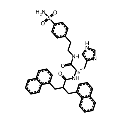 NS(=O)(=O)c1ccc(CCNC(=O)[C@H](Cc2c[nH]cn2)NC(=O)C(Cc2cccc3ccccc23)Cc2cccc3ccccc23)cc1